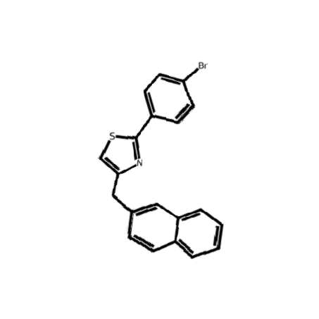 Brc1ccc(-c2nc(Cc3ccc4ccccc4c3)cs2)cc1